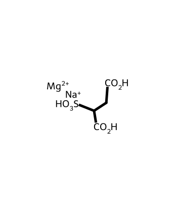 O=C(O)CC(C(=O)O)S(=O)(=O)O.[Mg+2].[Na+]